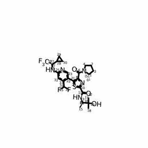 C[C@H]1CCCN1C(=O)c1nc(C(=O)N[C@H](C)C(C)(C)O)sc1-c1cnc(N[C@H](C2CC2)C(F)(F)F)cc1C(F)F